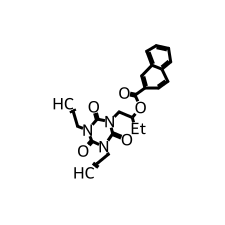 C#CCn1c(=O)n(CC#C)c(=O)n(CC(CC)OC(=O)c2ccc3ccccc3c2)c1=O